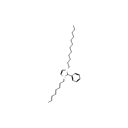 CCCCCCCCCCCCN1C=CN(CCCCCCCC)C1c1ccccc1